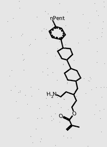 C=C(C)C(=O)OCCC(CCN)CC1CCC(C2CCC(c3ccc(CCCCC)cc3)CC2)CC1